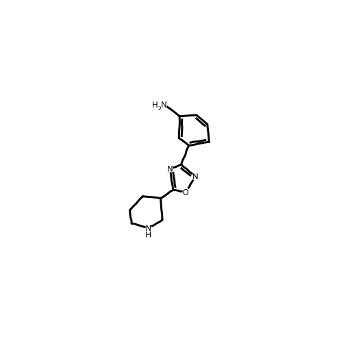 Nc1cccc(-c2noc(C3CCCNC3)n2)c1